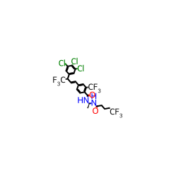 C[C@H](NC(=O)CCCC(F)(F)F)NC(=O)c1ccc(/C=C/C(c2cc(Cl)c(Cl)c(Cl)c2)C(F)(F)F)cc1C(F)(F)F